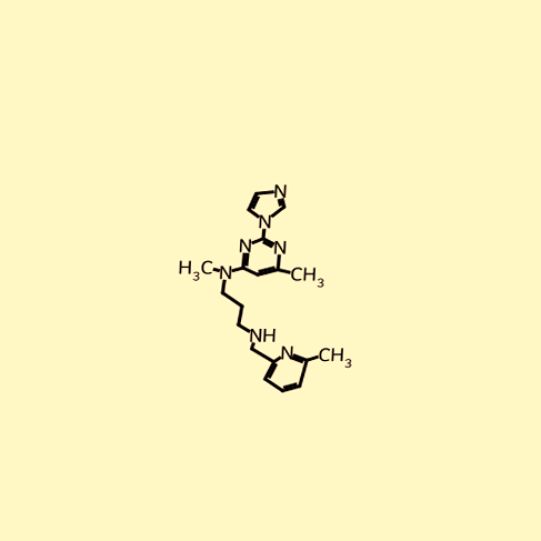 Cc1cccc(CNCCCN(C)c2cc(C)nc(-n3ccnc3)n2)n1